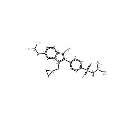 C[C@H](NS(=O)(=O)c1cnc(-c2c(C#N)c3ccc(CC(F)F)cc3n2CC2CC2)nc1)C(F)(F)F